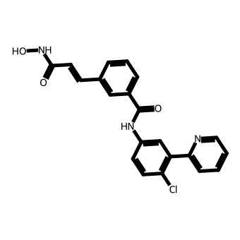 O=C(/C=C/c1cccc(C(=O)Nc2ccc(Cl)c(-c3ccccn3)c2)c1)NO